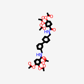 CC(=O)Oc1ccc(C(=O)NCc2ccc(-c3cccc(CNC(=O)c4ccc(OC(C)=O)c(OC(C)=O)c4OC(C)=O)c3)cc2)c(OC(C)=O)c1OC(C)=O